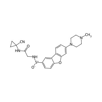 CN1CCN(c2ccc3c(c2)oc2ccc([S+]([O-])NCC(=O)NC4(C#N)CC4)cc23)CC1